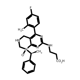 Cc1cc(F)ccc1-c1nc(NCCC(=O)O)nc2c1CNC[N+]2([O-])[C@@H](C)c1ccccc1